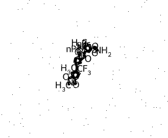 CCCN(CCC)c1c(C)cc(S(N)(=O)=O)cc1N1C(=O)c2ccc(C(C)(c3ccc4c(c3)C(=O)N(C)C4=O)C(F)(F)F)cc2C1=O